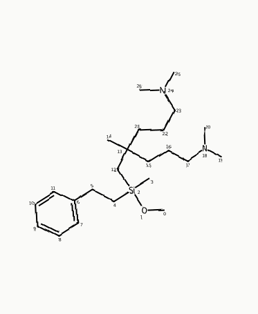 CO[Si](C)(CCc1ccccc1)CC(C)(CCCN(C)C)CCCN(C)C